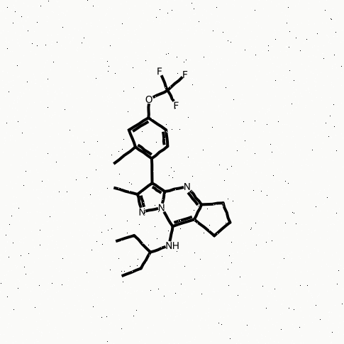 CCC(CC)Nc1c2c(nc3c(-c4ccc(OC(F)(F)F)cc4C)c(C)nn13)CCC2